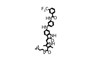 Cc1[nH]c(/C=C2\C(=O)Nc3cc(Nc4cccc(NC(=O)c5cccc(C(F)(F)F)c5)c4)ccc32)c(C)c1C(=O)N(C)CCN(C)C